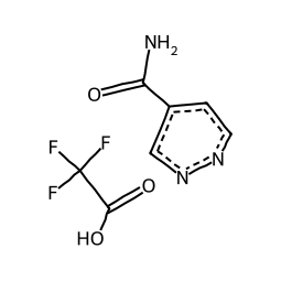 NC(=O)c1ccnnc1.O=C(O)C(F)(F)F